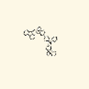 c1ccc2c(c1)-c1cccc3c1c-2cc1oc2ccc(-c4ccc5c(c4)c4ccccc4n5-c4ccc5oc6ccccc6c5c4)cc2c13